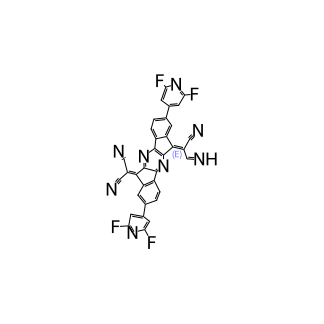 N#CC(C#N)=C1c2cc(-c3cc(F)nc(F)c3)ccc2-c2nc3c(nc21)-c1ccc(-c2cc(F)nc(F)c2)cc1/C3=C(\C#N)C=N